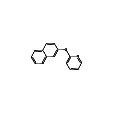 [c]1ccc(Oc2ccc3ccccc3c2)nc1